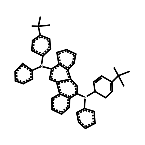 CC(C)(C)C1=CCC(N(c2ccccc2)c2cc3c4ccccc4c(N(c4ccccc4)c4ccc(C(C)(C)C)cc4)cc3c3ccccc23)C=C1